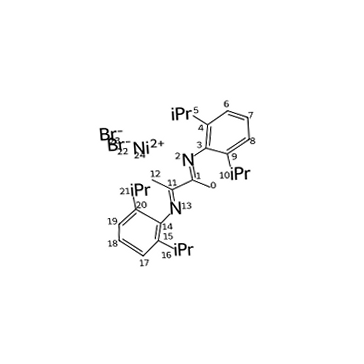 CC(=Nc1c(C(C)C)cccc1C(C)C)C(C)=Nc1c(C(C)C)cccc1C(C)C.[Br-].[Br-].[Ni+2]